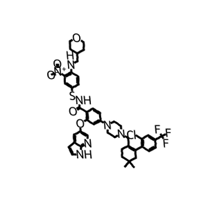 CC1(C)CCC(CN2CCN(c3ccc(C(=O)NSc4ccc(NCC5CCOCC5)c([N+](=O)[O-])c4)c(Oc4cnc5[nH]ccc5c4)c3)CC2)=C(c2ccc(C(F)(F)F)cc2Cl)C1